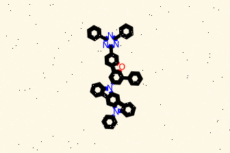 c1ccc(-c2nc(-c3ccccc3)nc(-c3ccc4c(c3)oc3c(-c5ccccc5)cc(-n5c6ccccc6c6cc7c(cc65)c5ccccc5n7-c5ccccc5)cc34)n2)cc1